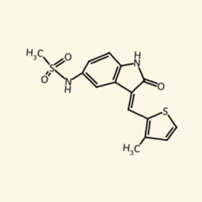 Cc1ccsc1C=C1C(=O)Nc2ccc(NS(C)(=O)=O)cc21